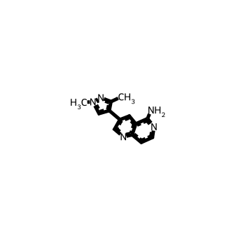 Cc1nn(C)cc1-c1cnc2ccnc(N)c2c1